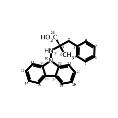 C[C@@](Cc1ccccc1)(Nn1c2ccccc2c2ccccc21)C(=O)O